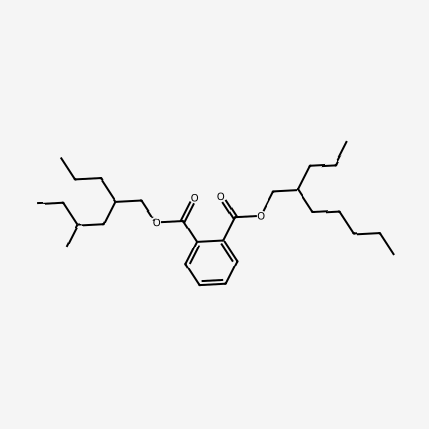 CCCCCC(CCC)COC(=O)c1ccccc1C(=O)OCC(CCC)CC(C)CC